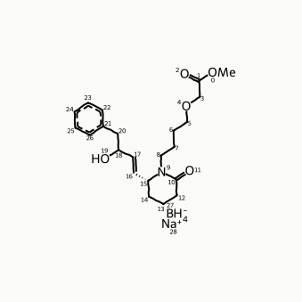 COC(=O)COCCCCN1C(=O)CCC[C@@H]1C=CC(O)Cc1ccccc1.[BH4-].[Na+]